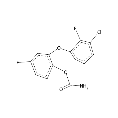 NC(=O)Oc1ccc(F)cc1Oc1cccc(Cl)c1F